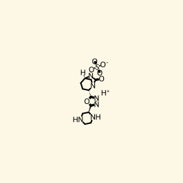 O=C1N2C[C@@H](CC[C@H]2c2nnc([C@@H]3CNCCN3)o2)N1OS(=O)(=O)[O-].[H+]